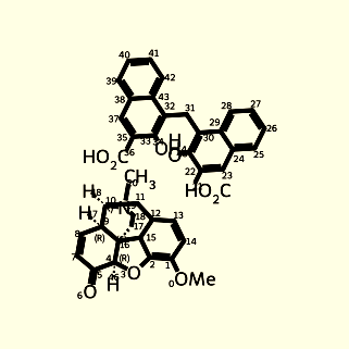 COC1=C2O[C@H]3C(=O)C=C[C@H]4[C@H]5CC(C=C1)C2[C@@]34CCN5C.O=C(O)c1cc2ccccc2c(Cc2c(O)c(C(=O)O)cc3ccccc23)c1O